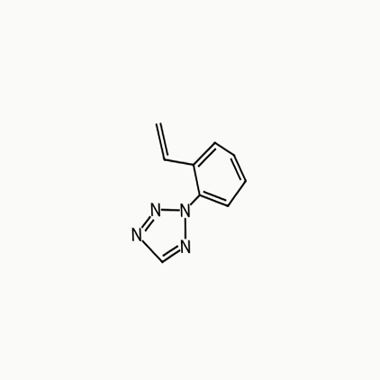 C=Cc1ccccc1-n1ncnn1